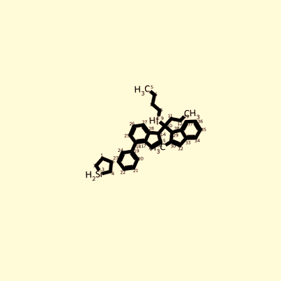 C1CC[SiH2]C1.CCC[CH2][Hf][C](CCC)(C1C=Cc2c(-c3ccccc3)cccc21)C1C(C)=Cc2ccccc21